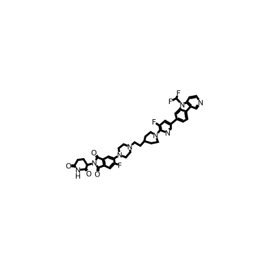 O=C1CCC(N2C(=O)c3cc(F)c(N4CCN(CCC5CCN(c6ncc(-c7ccc8c9cnccc9n(C(F)F)c8c7)cc6F)CC5)CC4)cc3C2=O)C(=O)N1